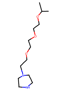 CC(C)OCCOCCOCCN1CCNCC1